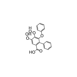 O=C(O)c1cc(OO)c(OO)c(Oc2ccccc2)c1-c1ccccc1